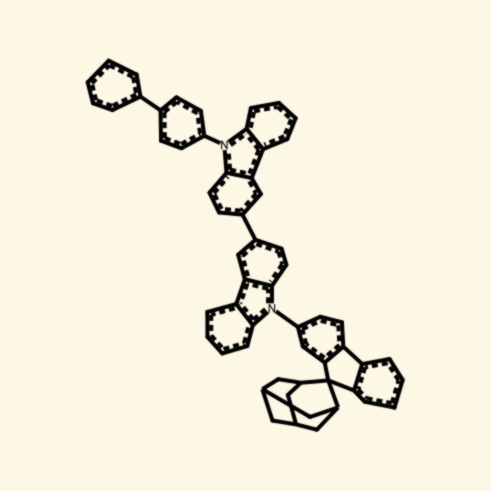 c1ccc(-c2ccc(-n3c4ccccc4c4cc(-c5ccc6c(c5)c5ccccc5n6-c5ccc6c(c5)C5(c7ccccc7-6)C6CC7CC(C6)CC5C7)ccc43)cc2)cc1